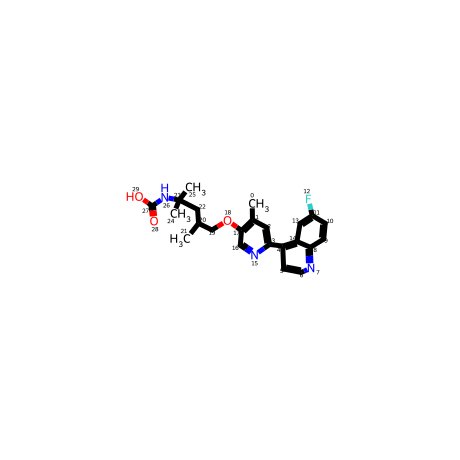 Cc1cc(-c2ccnc3ccc(F)cc23)ncc1OCC(C)CC(C)(C)NC(=O)O